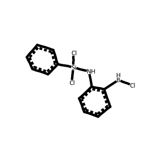 ClBc1ccccc1N[Si](Cl)(Cl)c1ccccc1